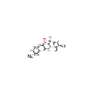 C=C1C(C(C)=O)=CC2=C1C1=C(C(=O)C(Cc3ccc(C#N)cc3)=C=C1)C2C